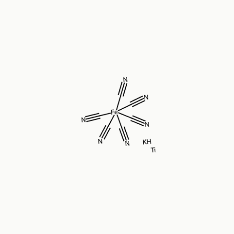 N#[C][Fe]([C]#N)([C]#N)([C]#N)([C]#N)[C]#N.[KH].[Ti]